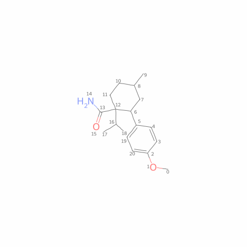 COc1ccc(C2CC(C)CCC2(C(N)=O)C(C)C)cc1